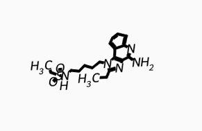 CCc1nc2c(N)nc3ccccc3c2n1CCCCCNS(=O)(=O)CC